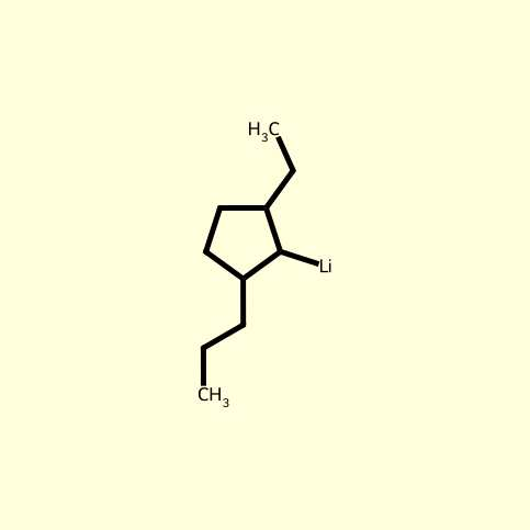 [Li][CH]1C(CC)CCC1CCC